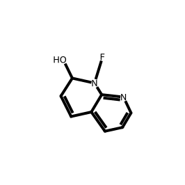 OC1C=Cc2cccnc2N1F